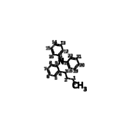 CCCCc1ccccc1N(c1ccccc1)c1ccccc1